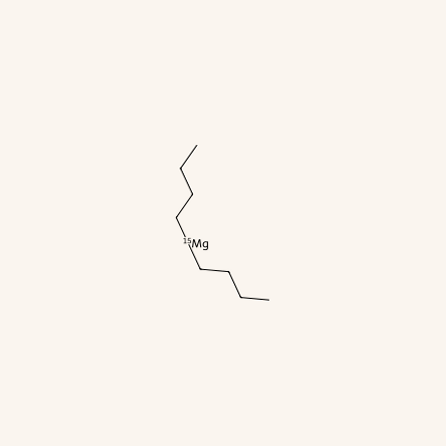 CCC[CH2][15Mg][CH2]CCC